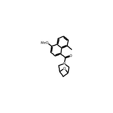 COc1ccc(C(=O)N2CC3CC(C2)O3)c2c(C)cccc12